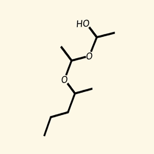 CCCC(C)OC(C)OC(C)O